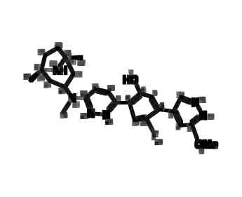 COc1cc(-c2cc(O)c(-c3ccc(N(C)C4C[C@]5(C)CC[C@](C)(C4)N5)nn3)cc2F)cnn1